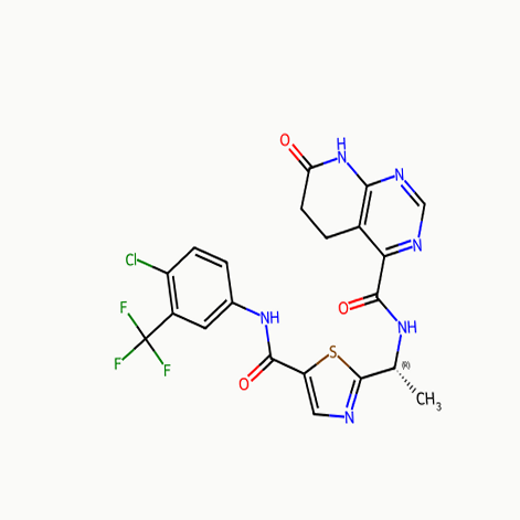 C[C@@H](NC(=O)c1ncnc2c1CCC(=O)N2)c1ncc(C(=O)Nc2ccc(Cl)c(C(F)(F)F)c2)s1